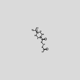 CC(=O)CCCC(=O)N1CCN(C(C)C)CC1